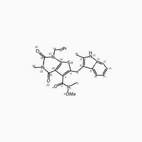 CON(C)C(=O)c1c(Cc2c(C)[nH]c3ccccc23)sc2c1c(=O)n(C)c(=O)n2CC(C)C